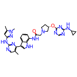 Cc1cnc(Nc2cc(C)n(C)n2)nc1-c1c[nH]c2c(NC(=O)CN3CC[C@H](Oc4ncnc(NC5CC5)n4)C3)cccc12